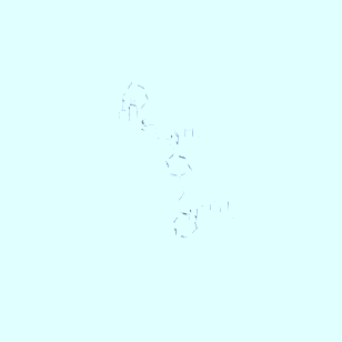 CC[n+]1ccccc1/C=C/c1ccc(N(C)CCSc2cccc[n+]2C)cc1